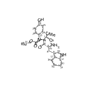 COC(=O)[C@@H](C(=O)[C@@H](N)Cc1c[nH]c2ccccc12)N(C(=O)OC(C)(C)C)c1ccc(O)cc1